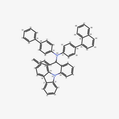 C=CC=CC(c1ccccc1-n1c2ccccc2c2ccccc21)N(c1ccc(-c2ccccc2)cc1)c1ccc(-c2cccc3ccccc23)cc1